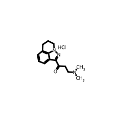 CN(C)CCC(=O)c1nn2c3c(cccc13)CCC2.Cl